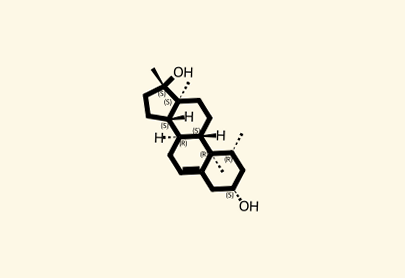 C[C@@H]1C[C@H](O)CC2=CC[C@@H]3[C@H](CC[C@@]4(C)[C@H]3CC[C@]4(C)O)[C@]21C